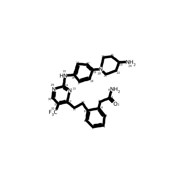 NC(=O)Cc1ccccc1CCc1nc(Nc2ccc(N3CCC(N)CC3)cc2)ncc1C(F)(F)F